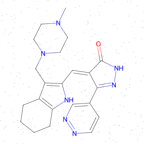 CN1CCN(Cc2c(/C=C3/C(=O)NN=C3c3ccnnc3)[nH]c3c2CCCC3)CC1